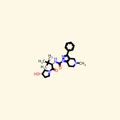 CN1CCc2c(c(-c3ccccc3)nn2C(=O)N[C@H](C(=O)N2CC[C@H](O)C2)C(C)(C)C)C1